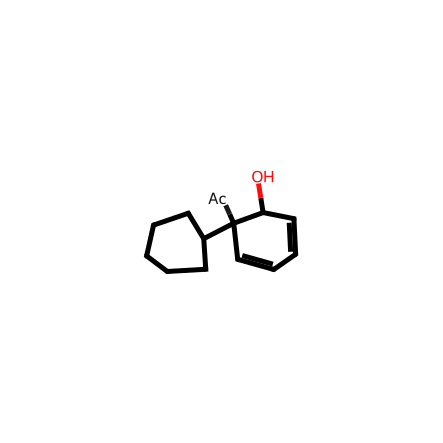 CC(=O)C1(C2CCCCC2)C=CC=CC1O